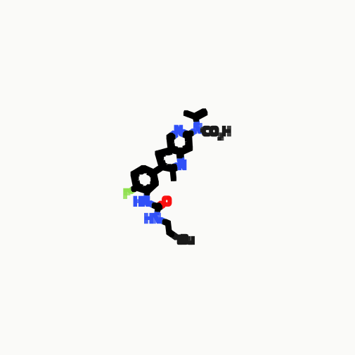 C=C(C)N(C(=O)O)c1cc2nc(C)c(-c3ccc(F)c(NC(=O)NCCC(C)(C)C)c3)cc2cn1